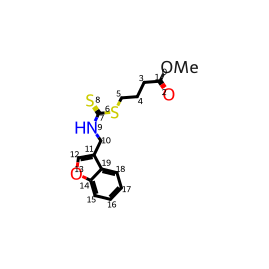 COC(=O)CCCSC(=S)NCc1coc2ccccc12